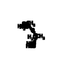 CC(C)(CCCCOCCCCC(C)(C)OP(=O)(O)O)CCCCOP(=O)(O)O